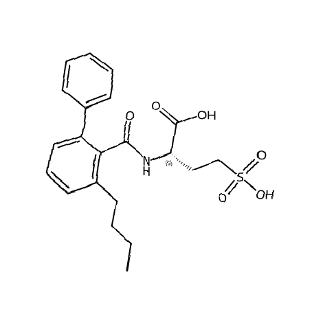 CCCCc1cccc(-c2ccccc2)c1C(=O)N[C@@H](CCS(=O)(=O)O)C(=O)O